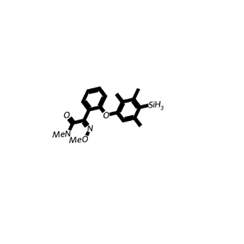 CNC(=O)C(=NOC)c1ccccc1Oc1cc(C)c([SiH3])c(C)c1C